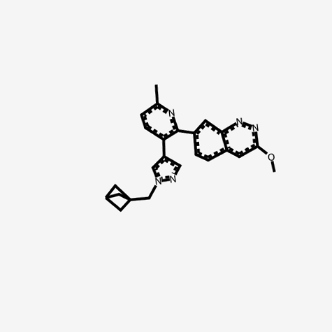 COc1cc2ccc(-c3nc(C)ccc3-c3cnn(CC45CC(C4)C5)c3)cc2nn1